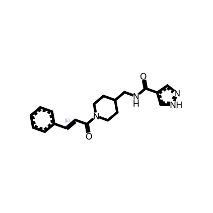 O=C(NCC1CCN(C(=O)/C=C/c2ccccc2)CC1)c1cn[nH]c1